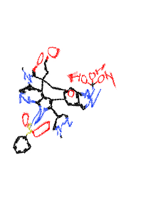 CN1C(=O)C(CC=O)(CC=O)c2c1cnc1c2c(-c2ccc3c(cnn3C(O)(O)O)c2)c(-c2cnn(C)c2)n1S(=O)(=O)c1ccccc1